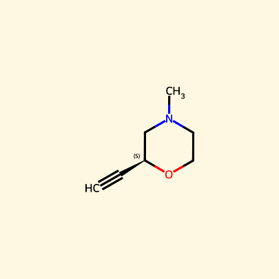 C#C[C@H]1CN(C)CCO1